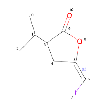 CC(C)C1C/C(=C\I)OC1=O